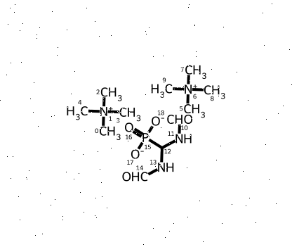 C[N+](C)(C)C.C[N+](C)(C)C.O=CNC(NC=O)P(=O)([O-])[O-]